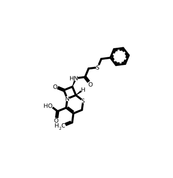 C=CC1=C(C(=O)O)N2C(=O)[C@@H](NC(=O)CSCc3ccccc3)[C@@H]2SC1